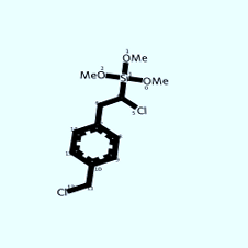 CO[Si](OC)(OC)C(Cl)Cc1ccc(CCl)cc1